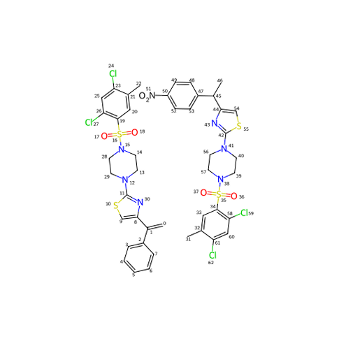 C=C(c1ccccc1)c1csc(N2CCN(S(=O)(=O)c3cc(C)c(Cl)cc3Cl)CC2)n1.Cc1cc(S(=O)(=O)N2CCN(c3nc(C(C)c4ccc([N+](=O)[O-])cc4)cs3)CC2)c(Cl)cc1Cl